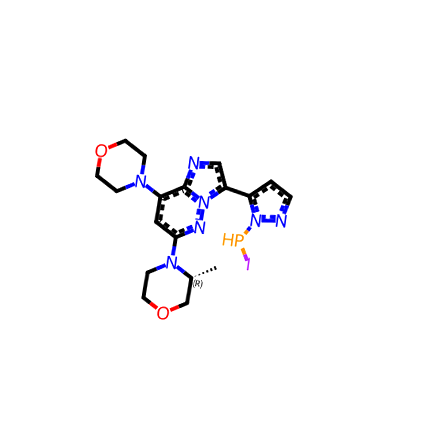 C[C@@H]1COCCN1c1cc(N2CCOCC2)c2ncc(-c3ccnn3PI)n2n1